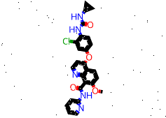 COc1ccc2c(Oc3ccc(NC(=O)NC4CC4)c(Cl)c3)ccnc2c1C(=O)Nc1ccccn1